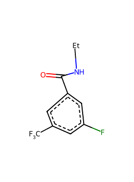 CCNC(=O)c1cc(F)cc(C(F)(F)F)c1